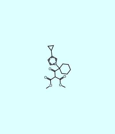 COC(=O)C(C(=O)OC)C(=O)C1(n2ccc(C3CC3)c2)CCCCC1